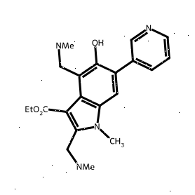 CCOC(=O)c1c(CNC)n(C)c2cc(-c3cccnc3)c(O)c(CNC)c12